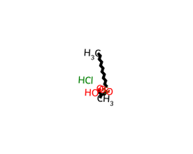 CCCCCCCCCCCCS(=O)(=O)CC(C)C(=O)O.Cl